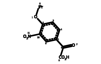 CC(C)Oc1ccc(C(=O)C(=O)O)cc1[N+](=O)[O-]